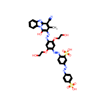 Cc1c(N=Nc2cc(OCCO)c(N=Nc3ccc(N=Nc4ccc(S(=O)(=O)O)cc4)cc3S(=O)(=O)O)cc2OCCO)c(O)n2c(nc3ccccc32)c1C#N